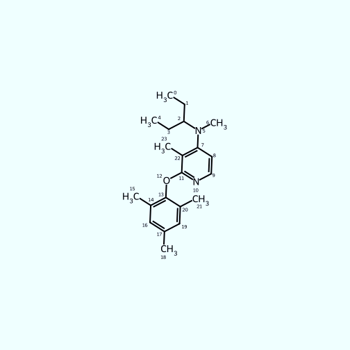 CCC(CC)N(C)c1ccnc(Oc2c(C)cc(C)cc2C)c1C